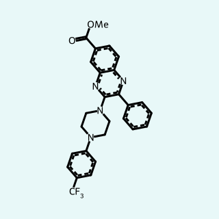 COC(=O)c1ccc2nc(-c3ccccc3)c(N3CCN(c4ccc(C(F)(F)F)cc4)CC3)nc2c1